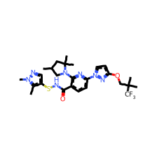 Cc1c(SNC(=O)c2ccc(-n3ccc(OCC(C)(C)C(F)(F)F)n3)nc2N2CC(C)CC2(C)C)cnn1C